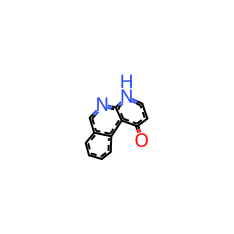 O=c1cc[nH]c2ncc3ccccc3c12